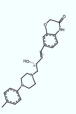 Cc1ccc(N2CCN(C[C@H](O)/C=C/c3ccc4c(c3)OCC(=O)N4)CC2)cc1